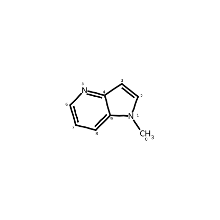 Cn1ccc2ncccc21